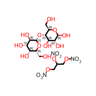 O=[N+]([O-])OCC(CO[N+](=O)[O-])O[N+](=O)[O-].OC[C@H]1O[C@@H](O[C@H]2[C@H](O)[C@@H](O)[C@H](O)O[C@@H]2CO)[C@H](O)[C@@H](O)[C@H]1O